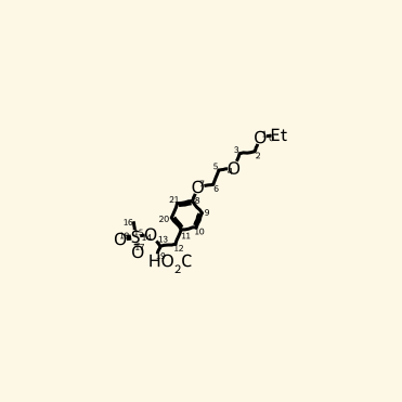 CCOCCOCCOc1ccc(CC(OS(C)(=O)=O)C(=O)O)cc1